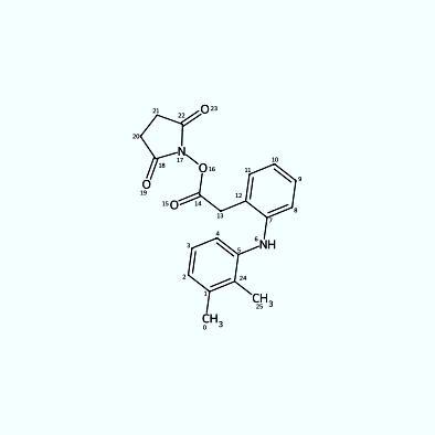 Cc1cccc(Nc2ccccc2CC(=O)ON2C(=O)CCC2=O)c1C